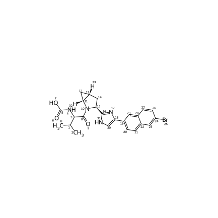 CC(C)C(NC(=O)O)C(=O)N1[C@@H]2C[C@@H]2C[C@H]1c1nc(-c2ccc3cc(Br)ccc3c2)c[nH]1